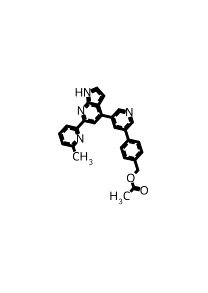 CC(=O)OCc1ccc(-c2cncc(-c3cc(-c4cccc(C)n4)nc4[nH]ccc34)c2)cc1